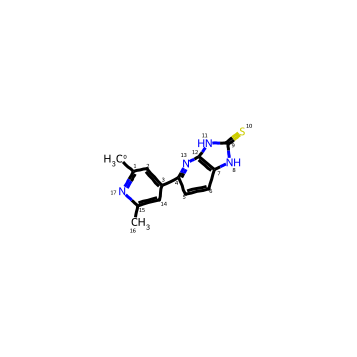 Cc1cc(-c2ccc3[nH]c(=S)[nH]c3n2)cc(C)n1